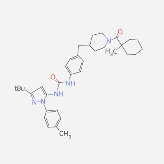 Cc1ccc(-n2nc(C(C)(C)C)cc2NC(=O)Nc2ccc(CC3CCN(C(=O)C4(C)CCCCC4)CC3)cc2)cc1